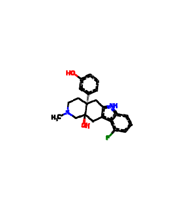 CN1CC[C@@]2(c3cccc(O)c3)Cc3[nH]c4cccc(F)c4c3C[C@]2(O)C1